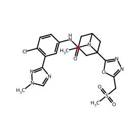 CC1CC2CC(c3nnc(CS(C)(=O)=O)o3)(C1)N2C(=O)Nc1ccc(Cl)c(-c2ncn(C)n2)c1